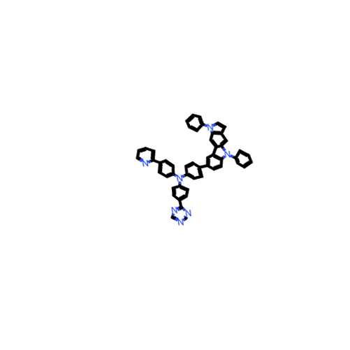 c1ccc(-n2ccc3cc4c(cc32)c2cc(-c3ccc(N(c5ccc(-c6ccccn6)cc5)c5ccc(-c6ncncn6)cc5)cc3)ccc2n4-c2ccccc2)cc1